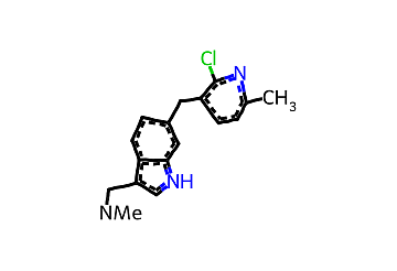 CNCc1c[nH]c2cc(Cc3ccc(C)nc3Cl)ccc12